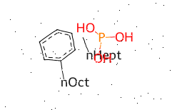 CCCCCCCC.CCCCCCCCc1ccccc1.OP(O)O